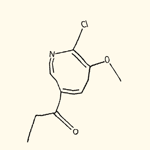 CCC(=O)c1cnc(Cl)c(OC)c1